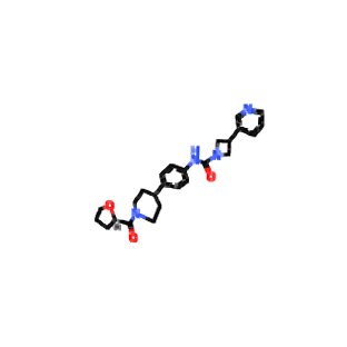 O=C(Nc1ccc(C2CCN(C(=O)[C@H]3CCCO3)CC2)cc1)N1CC(c2cccnc2)C1